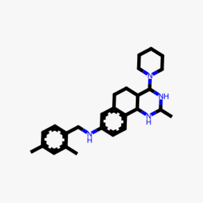 Cc1ccc(CNc2ccc3c(c2)CCC2C3NC(C)NC2N2CCCCC2)c(C)c1